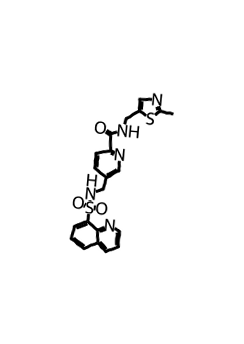 Cc1ncc(CNC(=O)c2ccc(CNS(=O)(=O)c3cccc4cccnc34)cn2)s1